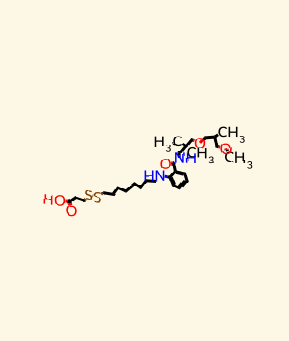 COCC(C)COCC(C)(C)CNC(=O)c1ccccc1NCCCCCCCCSSCCC(=O)O